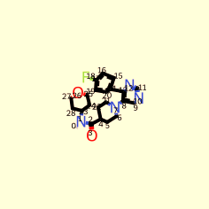 CN(C(=O)C1CCN(c2cncnc2-c2ccc(F)cc2)CC1)C1CCOCC1